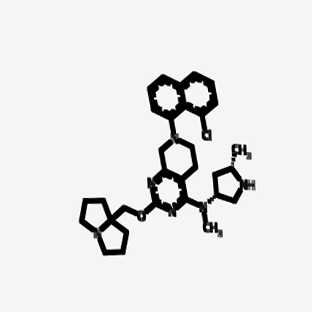 C[C@H]1C[C@@H](N(C)c2nc(OCC34CCCN3CCC4)nc3c2CCN(c2cccc4cccc(Cl)c24)C3)CN1